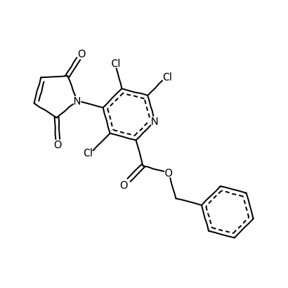 O=C(OCc1ccccc1)c1nc(Cl)c(Cl)c(N2C(=O)C=CC2=O)c1Cl